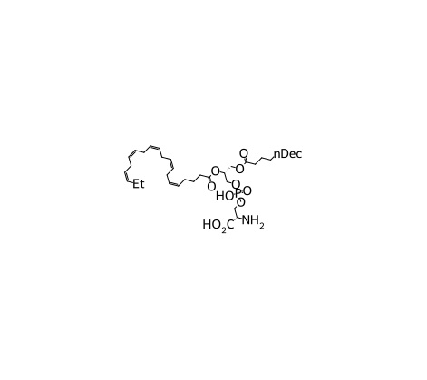 CC/C=C\C/C=C\C/C=C\C/C=C\C/C=C\CCCC(=O)O[C@H](COC(=O)CCCCCCCCCCCCC)COP(=O)(O)OC[C@H](N)C(=O)O